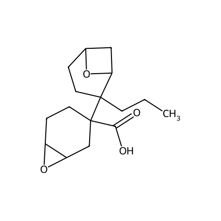 CCCC1(C2(C(=O)O)CCC3OC3C2)CCC2CC1O2